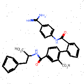 N=C(N)c1ccc(NC(=O)c2ccccc2-c2ccc(C(=O)NC(Cc3ccccc3)C(=O)O)cc2C(=O)O)cc1